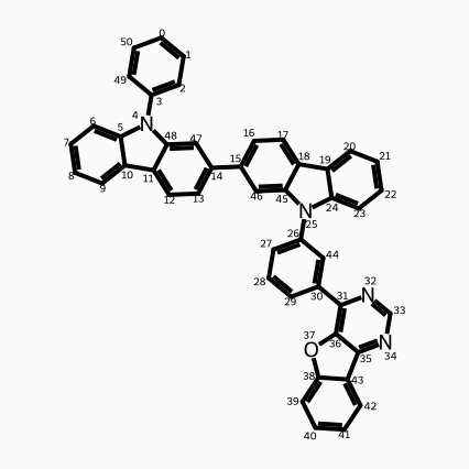 c1ccc(-n2c3ccccc3c3ccc(-c4ccc5c6ccccc6n(-c6cccc(-c7ncnc8c7oc7ccccc78)c6)c5c4)cc32)cc1